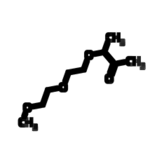 COCCOCCOC(C)C(C)=O